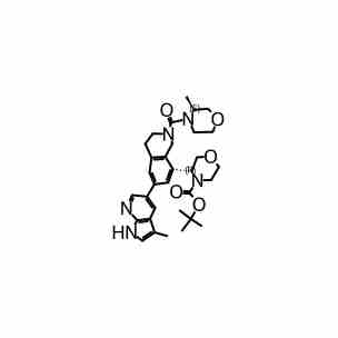 Cc1c[nH]c2ncc(-c3cc4c(c([C@@H]5COCCN5C(=O)OC(C)(C)C)c3)CN(C(=O)N3CCOC[C@@H]3C)CC4)cc12